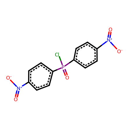 O=[N+]([O-])c1ccc(P(=O)(Cl)c2ccc([N+](=O)[O-])cc2)cc1